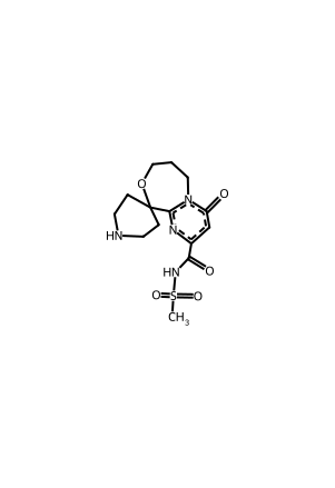 CS(=O)(=O)NC(=O)c1cc(=O)n2c(n1)C1(CCNCC1)OCCC2